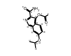 CC(=O)Oc1c(C(N)=O)ncc2cc(OC(C)C)ccc12